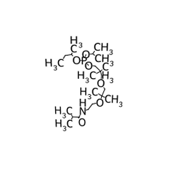 CCC(C)OP(OCC(C)(C)COCC(C)(C)OCCNC(=O)C(C)C)OC(C)C